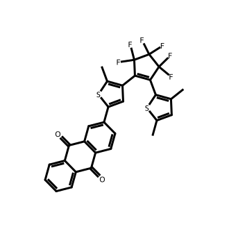 Cc1cc(C)c(C2=C(c3cc(-c4ccc5c(c4)C(=O)c4ccccc4C5=O)sc3C)C(F)(F)C(F)(F)C2(F)F)s1